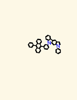 c1ccc(-c2c3ccccc3c(-c3cccc(-n4c5ccccc5c5cc6ccn(-c7ccccc7)c6cc54)c3)c3ccccc23)cc1